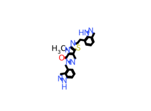 Cn1c2nc(Cc3cccc4cn[nH]c34)sc2c2cnn(Cc3cccc4[nH]ncc34)c(=O)c21